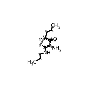 CCCNc1nnc(CCC)c(=O)n1N